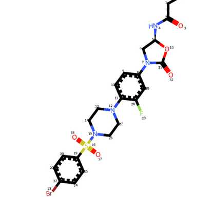 CCC(=O)N[C@@H]1CN(c2ccc(N3CCN(S(=O)(=O)c4ccc(Br)cc4)CC3)c(F)c2)C(=O)O1